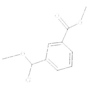 COC(=O)c1cccc(C(Cl)OC)c1